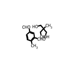 CC(CO)(CO)CO.Cc1ccc(C=O)cc1C=O